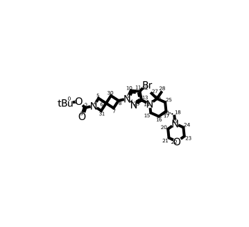 CC(C)(C)OC(=O)N1CC2(CC(n3cc(Br)c(N4CC[C@@H](CN5CCOCC5)CC4(C)C)n3)C2)C1